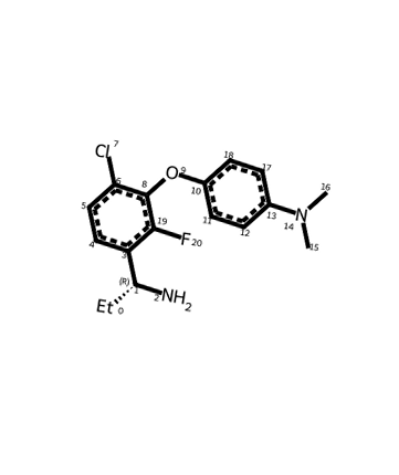 CC[C@@H](N)c1ccc(Cl)c(Oc2ccc(N(C)C)cc2)c1F